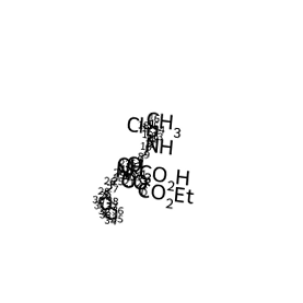 CCOC(=O)COC(C(=O)O)C(OCCCCNc1ccc(C)c(Cl)c1)C(=O)N(C)CCCCCc1ccc2ccccc2c1